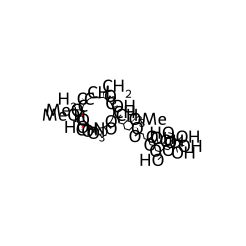 C=CC[C@@H]1/C=C(\C)C[C@@H](C)C[C@H](OC)[C@H]2O[C@@](O)(C(=O)C(=O)N3CCCCC3C(=O)O[C@H](/C(C)=C/C3CC[C@@H](OC(=O)CCC(=O)OC4OC(CO)C(OC5OC(CO)C(O)C(O)C5O)C(O)C4O)[C@H](OC)C3)[C@H](C)[C@H](O)CC1=O)[C@H](C)CC2OC